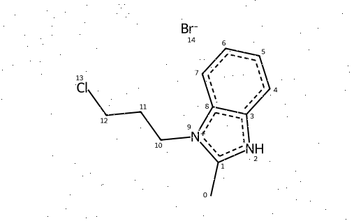 Cc1[nH]c2ccccc2[n+]1CCCCl.[Br-]